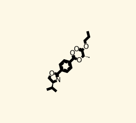 CCCOC(=O)[C@H](C)OC(=O)c1ccc(C2=N[C@@H](C(C)C)CO2)cc1